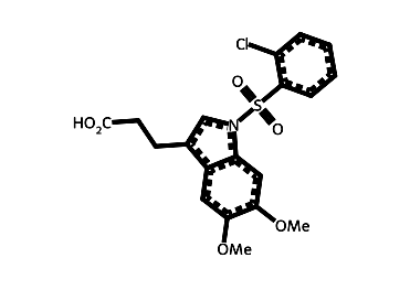 COc1cc2c(CCC(=O)O)cn(S(=O)(=O)c3ccccc3Cl)c2cc1OC